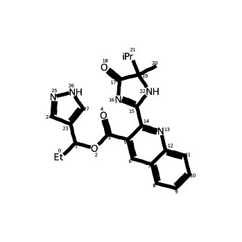 CCC(OC(=O)c1cc2ccccc2nc1C1=NC(=O)C(C)(C(C)C)N1)c1cn[nH]c1